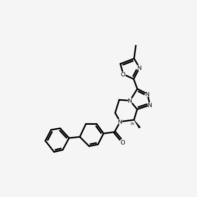 Cc1coc(-c2nnc3n2CCN(C(=O)C2=CCC(c4ccccc4)C=C2)[C@@H]3C)n1